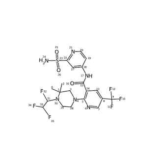 CC1(C)CN(c2ncc(C(F)(F)F)cc2C(=O)Nc2ccnc(S(N)(=O)=O)c2)CCN1C(F)C(F)F